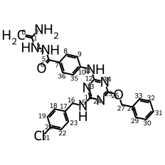 C=C(N)NNC(=O)c1ccc(Nc2nc(NCc3ccc(Cl)cc3)nc(OCc3ccccc3)n2)cc1